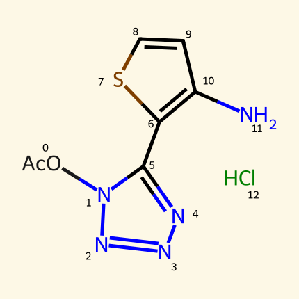 CC(=O)On1nnnc1-c1sccc1N.Cl